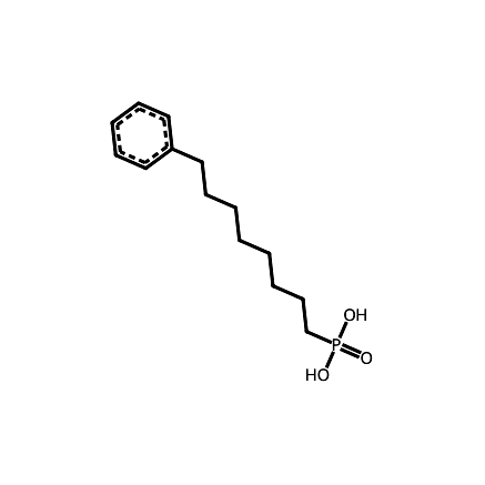 O=P(O)(O)CCCCCCCCc1ccccc1